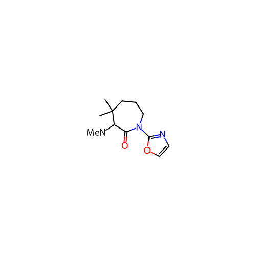 CNC1C(=O)N(c2ncco2)CCCC1(C)C